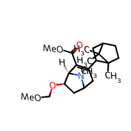 COCO[C@@H]1CC2CC(C3CC4CCC3(C)C4(C)C)=C(C(=O)OC)[C@H]1N2C